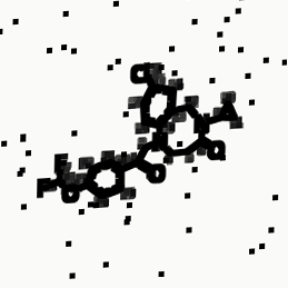 O=C(CN1CCC(=O)N(C2CC2)Cc2cc(Cl)ccc21)c1ccc(OC(F)F)cc1